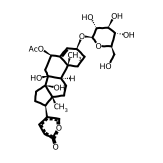 CC(=O)O[C@@H]1C[C@]2(O)[C@H](CC[C@]3(C)[C@@H](c4ccc(=O)oc4)CC[C@@]32O)[C@@]2(C)CC[C@H](O[C@@H]3O[C@H](CO)[C@@H](O)[C@H](O)[C@H]3O)C=C12